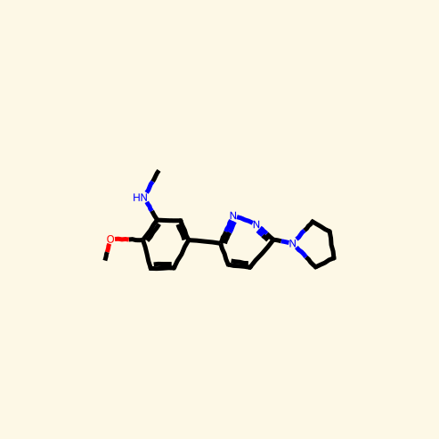 CNc1cc(-c2ccc(N3CCCC3)nn2)ccc1OC